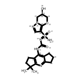 CC1(C)CCc2c1nc1c(c2NC(=O)N=S(N)(=O)c2cnn3c2OC[C@H](O)C3)CCC1